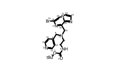 CC(C)(C)OC(=O)NCCN(Cc1ccncc1)Cc1nc(Br)cn2ccnc12